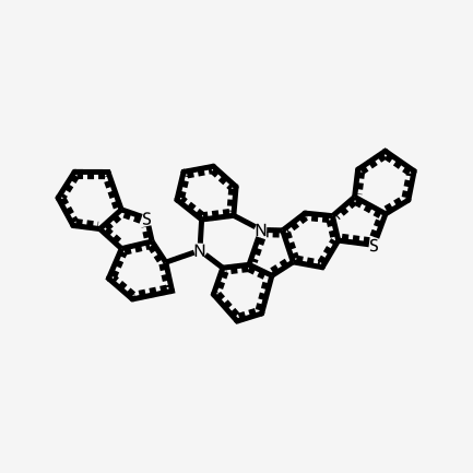 c1ccc2c(c1)N(c1cccc3c1sc1ccccc13)c1cccc3c4cc5sc6ccccc6c5cc4n-2c13